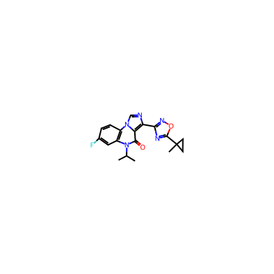 CC(C)n1c(=O)c2c(-c3noc(C4(C)CC4)n3)ncn2c2ccc(F)cc21